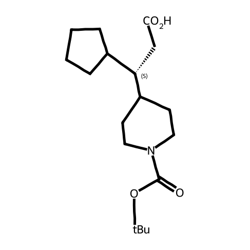 CC(C)(C)OC(=O)N1CCC([C@@H](CC(=O)O)C2CCCC2)CC1